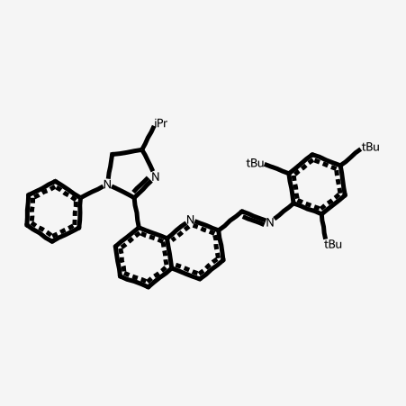 CC(C)C1CN(c2ccccc2)C(c2cccc3ccc(C=Nc4c(C(C)(C)C)cc(C(C)(C)C)cc4C(C)(C)C)nc23)=N1